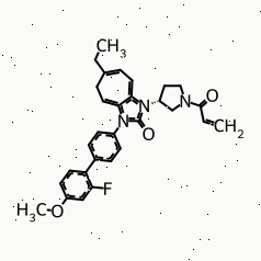 C=CC(=O)N1CC[C@@H](n2c3c(n(-c4ccc(-c5ccc(OC)cc5F)cc4)c2=O)=CCC(CC)=CC=3)C1